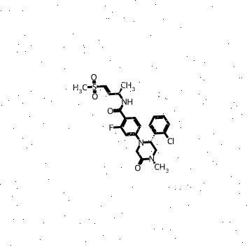 C[C@H](/C=C/S(C)(=O)=O)NC(=O)c1ccc(N2CC(=O)N(C)C[C@H]2c2ccccc2Cl)cc1F